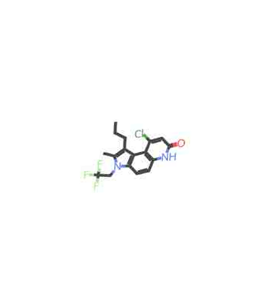 CCCc1c(C)n(CC(F)(F)F)c2ccc3[nH]c(=O)cc(Cl)c3c12